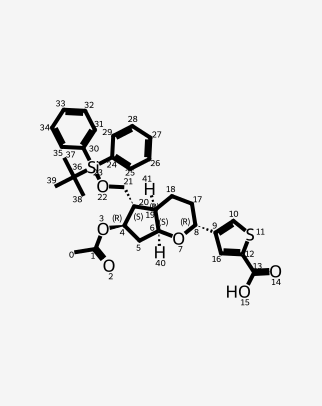 CC(=O)O[C@@H]1C[C@@H]2O[C@@H](c3csc(C(=O)O)c3)CC[C@@H]2[C@H]1CO[Si](c1ccccc1)(c1ccccc1)C(C)(C)C